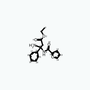 CCOC(=O)CC(N)(NC(=O)c1ccco1)c1ccccc1